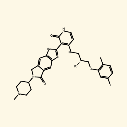 Cc1ccc(F)cc1OC[C@H](O)CNc1cc[nH]c(=O)c1-c1nc2cc3c(cc2[nH]1)CN(C1CCN(C)CC1)C3=O